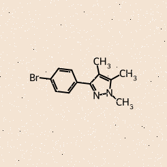 Cc1c(-c2ccc(Br)cc2)nn(C)c1C